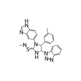 CN=S=C1NC(n2nnc3ccccc32)C(c2cccc(C)c2)N1c1ccc2[nH]cnc2c1